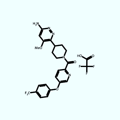 COc1cc(N)nnc1C1CCN(C(=O)c2ccc(Oc3ccc(C(F)(F)F)cc3)cn2)CC1.O=C(O)C(F)(F)F